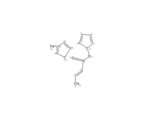 CC=CC(=O)O[c-]1cccc1.[Fe+2].c1cc[cH-]c1